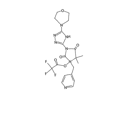 CC1(C)C(=O)N(c2nnc(N3CCOCC3)[nH]2)C(=O)[N+]1(Cc1ccncc1)OC(=O)C(F)(F)F